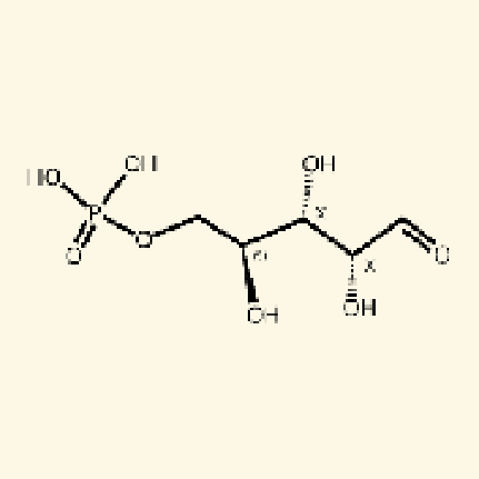 O=C[C@H](O)[C@@H](O)[C@@H](O)COP(=O)(O)O